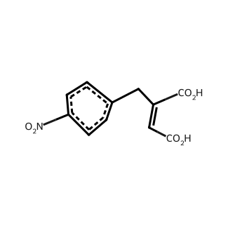 O=C(O)C=C(Cc1ccc([N+](=O)[O-])cc1)C(=O)O